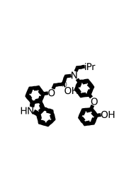 CC(C)CN(C[C@H](O)COc1cccc2[nH]c3ccccc3c12)c1ccc(Oc2ccccc2O)cc1